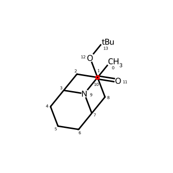 CC1CC2CCCC(C1)N2C(=O)OC(C)(C)C